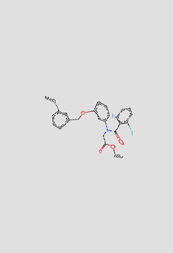 COc1cccc(COc2cccc(N(CC(=O)OC(C)(C)C)C(=O)c3c(F)cccc3F)c2)c1